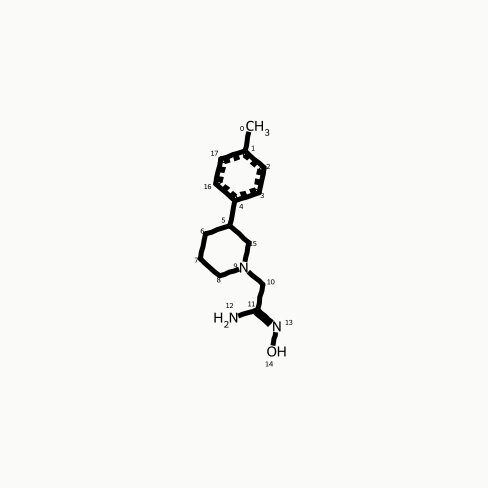 Cc1ccc(C2CCCN(C/C(N)=N/O)C2)cc1